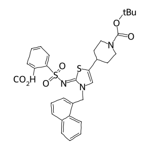 CC(C)(C)OC(=O)N1CCC(c2cn(Cc3cccc4ccccc34)c(=NS(=O)(=O)c3ccccc3C(=O)O)s2)CC1